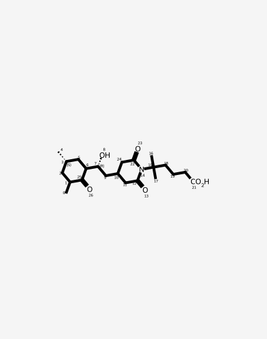 CC1C[C@H](C)CC([C@H](O)CC2CC(=O)N(C(C)(C)CCCC(=O)O)C(=O)C2)C1=O